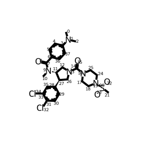 CN(C)c1ccc(C(=O)N(C)[C@@H]2CN(C(=O)N3CCN(S(C)(=O)=O)CC3)C[C@H]2c2ccc(Cl)c(Cl)c2)cc1